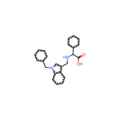 O=C(O)C(NCc1cn(Cc2ccccc2)c2ccccc12)c1ccccc1